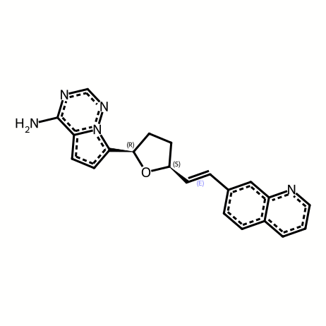 Nc1ncnn2c([C@H]3CC[C@@H](/C=C/c4ccc5cccnc5c4)O3)ccc12